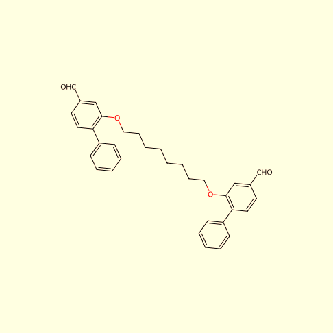 O=Cc1ccc(-c2ccccc2)c(OCCCCCCCCOc2cc(C=O)ccc2-c2ccccc2)c1